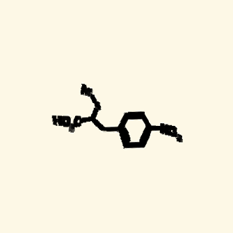 CC(=O)SC(Cc1ccc([N+](=O)[O-])cc1)C(=O)O